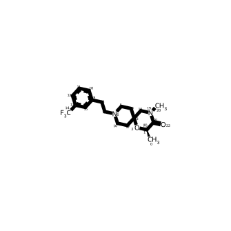 C[C@H]1OC2(CCN(CCc3cccc(C(F)(F)F)c3)CC2)CN(C)C1=O